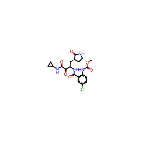 COC(=O)Nc1ccc(Cl)cc1C(=O)NC(C[C@@H]1CCNC1=O)C(=O)C(=O)NC1CC1